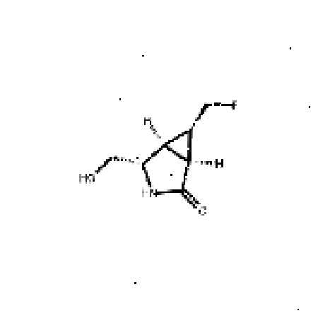 O=C1N[C@H](CO)[C@H]2[C@@H](CF)[C@@H]12